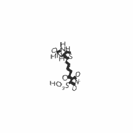 O=C1N[C@H]2[C@H](CS[C@H]2CCCCC(=O)C2C(=O)[N]C(=O)C2S(=O)(=O)O)N1